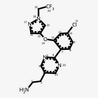 NCCc1cnc(-c2ccc(Cl)cc2Oc2cnn(CC(F)(F)F)c2)nc1